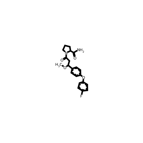 COC(CC(=O)N1CCCC1C(N)=O)c1ccc(Oc2ccc(F)cc2)cc1